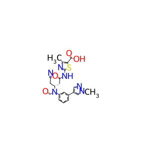 Cc1nc(NC(=O)C[C@@H](CC#N)N(C=O)c2cccc(-c3cnn(C)c3)c2)sc1C(=O)O